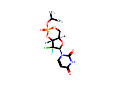 CC(C)O[P@@]1(=O)OC[C@H]2O[C@@H](n3ccc(=O)[nH]c3=O)[C@](F)(Cl)[C@@H]2O1